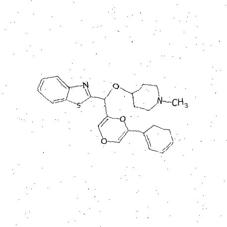 CN1CCC(OC(C2=COC=C(C3=CC=CCC3)O2)c2nc3ccccc3s2)CC1